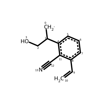 [CH2]C(CO)c1cccc(C=C)c1C#N